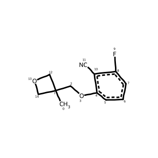 CC1(COc2cccc(F)c2C#N)COC1